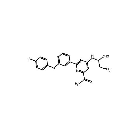 NCC(C=O)Nc1cc(C(N)=O)nc(-c2ccnc(Oc3ccc(F)cc3)c2)n1